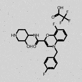 O=C(NC1CCNCC1O)C1=CN(Cc2ccc(F)cc2)c2cccc(F)c2O1.O=C(O)C(F)(F)F